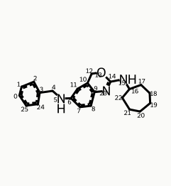 c1ccc(CNc2ccc3c(c2)COC(NC2CCCCCC2)=N3)cc1